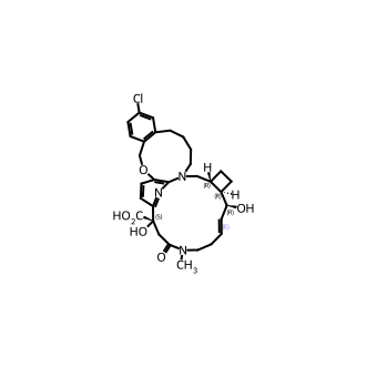 CN1CC/C=C/[C@H](O)[C@@H]2CC[C@H]2CN2CCCCc3cc(Cl)ccc3COc3ccc(nc32)[C@](O)(C(=O)O)CC1=O